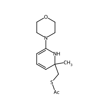 CC(=O)SCC1(C)C=CC=C(N2CCOCC2)N1